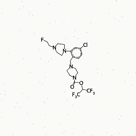 O=C(OC(C(F)(F)F)C(F)(F)F)N1CCN(Cc2ccc(Cl)cc2N2CCN(CCF)CC2)CC1